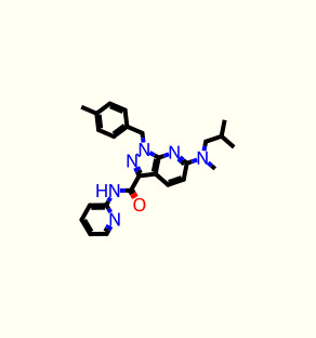 Cc1ccc(Cn2nc(C(=O)Nc3ccccn3)c3ccc(N(C)CC(C)C)nc32)cc1